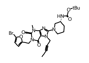 CC#CCn1c(N2CCC[C@@H](NC(=O)OC(C)(C)C)C2)nc2c1c(=O)n(Cc1ccc(Br)o1)c(=O)n2C